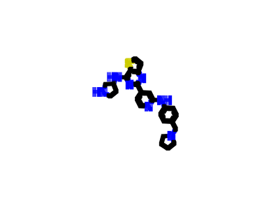 c1cc(-c2nc(N[C@@H]3CCNC3)c3sccc3n2)cc(Nc2ccc(CN3CCCC3)cc2)n1